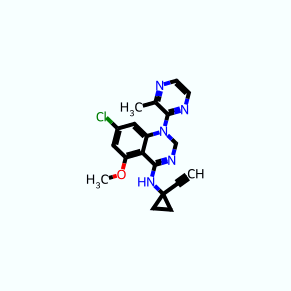 C#CC1(NC2=NCN(c3nccnc3C)c3cc(Cl)cc(OC)c32)CC1